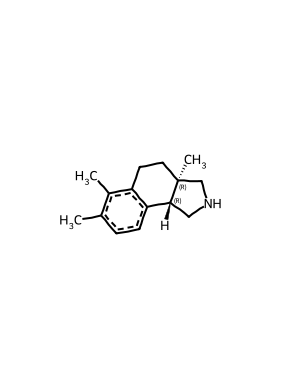 Cc1ccc2c(c1C)CC[C@@]1(C)CNC[C@H]21